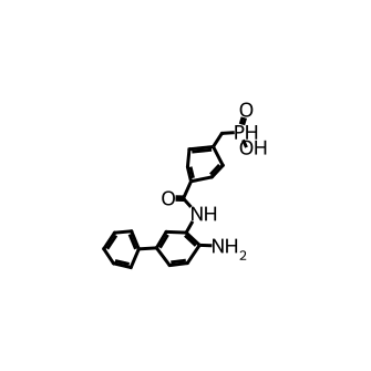 Nc1ccc(-c2ccccc2)cc1NC(=O)c1ccc(C[PH](=O)O)cc1